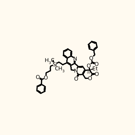 CC[C@@]1(OC(=O)OCc2ccccc2)C(=O)OCc2c1cc1n(c2=O)Cc2c-1nc1ccccc1c2CC[Si](C)(C)CCCOC(=O)c1ccccc1